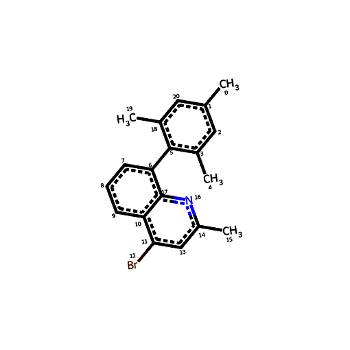 Cc1cc(C)c(-c2cccc3c(Br)cc(C)nc23)c(C)c1